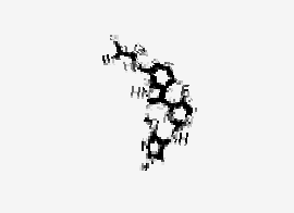 COc1nn(C)cc1Nc1ncc(F)c(-c2c[nH]c3c(NC(=O)C(C)Br)cccc23)n1